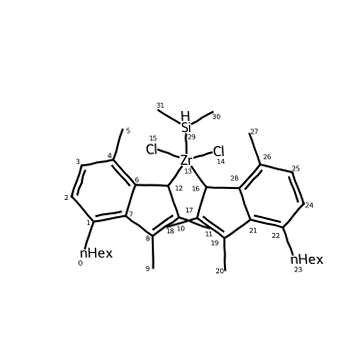 CCCCCCc1ccc(C)c2c1C(C)=C(C)[CH]2[Zr]([Cl])([Cl])([CH]1C(C)=C(C)c2c(CCCCCC)ccc(C)c21)[SiH](C)C